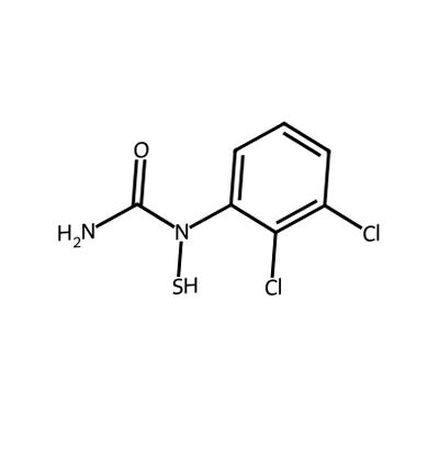 NC(=O)N(S)c1cccc(Cl)c1Cl